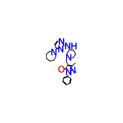 Cc1c(CN2CCCC(Nc3nccc(N4CCCCCC4)n3)C2)c(=O)n(-c2ccccc2)n1C